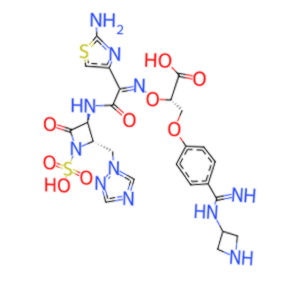 N=C(NC1CNC1)c1ccc(OC[C@H](ON=C(C(=O)N[C@@H]2C(=O)N(S(=O)(=O)O)[C@H]2Cn2cncn2)c2csc(N)n2)C(=O)O)cc1